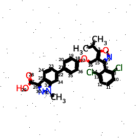 CC(C)c1onc(-c2c(Cl)cccc2Cl)c1COc1ccc(-c2ccc3c(C(=O)O)nn(C)c3c2)cc1